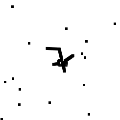 C[CH2][Ge]([CH3])([CH3])[CH3]